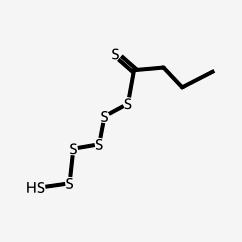 CCCC(=S)SSSSSS